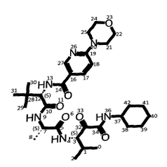 CC(C)[C@H](NC(=O)[C@H](C)NC(=O)[C@@H](NC(=O)c1ccc(N2CCOCC2)nc1)C(C)(C)C)C(=O)C(=O)NC1CCCCC1